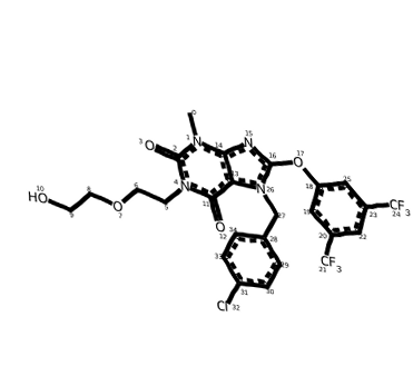 Cn1c(=O)n(CCOCCO)c(=O)c2c1nc(Oc1cc(C(F)(F)F)cc(C(F)(F)F)c1)n2Cc1ccc(Cl)cc1